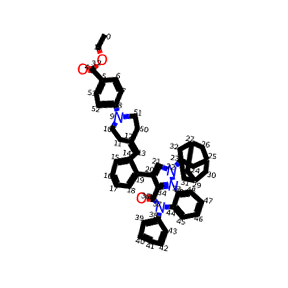 CCOC(=O)c1ccc(N2CCC(=Cc3ccccc3-c3cn(C45CC6CC(CC(C6)C4)C5)nc3C(=O)N(c3ccccc3)c3ccccc3)CC2)cc1